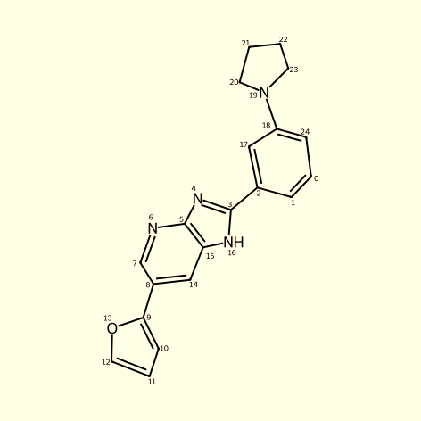 c1cc(-c2nc3ncc(-c4ccco4)cc3[nH]2)cc(N2CCCC2)c1